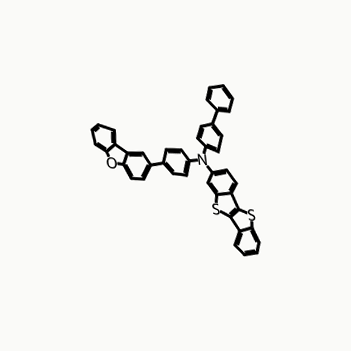 c1ccc(-c2ccc(N(c3ccc(-c4ccc5oc6ccccc6c5c4)cc3)c3ccc4c(c3)sc3c5ccccc5sc43)cc2)cc1